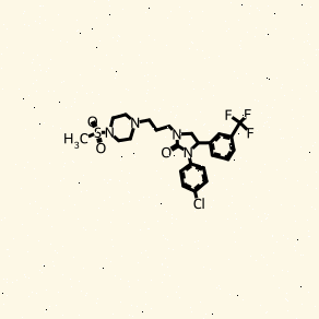 CS(=O)(=O)N1CCN(CCCN2CC(c3cccc(C(F)(F)F)c3)N(c3ccc(Cl)cc3)C2=O)CC1